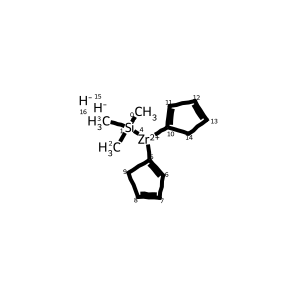 C[Si](C)(C)[Zr+2]([C]1=CC=CC1)[C]1=CC=CC1.[H-].[H-]